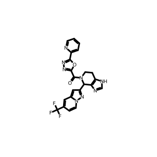 O=C(c1nnc(-c2ccccn2)o1)N1CCc2[nH]cnc2C1c1cc2cc(C(F)(F)F)ccn2n1